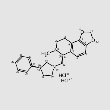 CN1CCc2c(ccc3c2OCO3)[C@H]1CN1CC[C@@H](c2ccccc2)C1.Cl.Cl